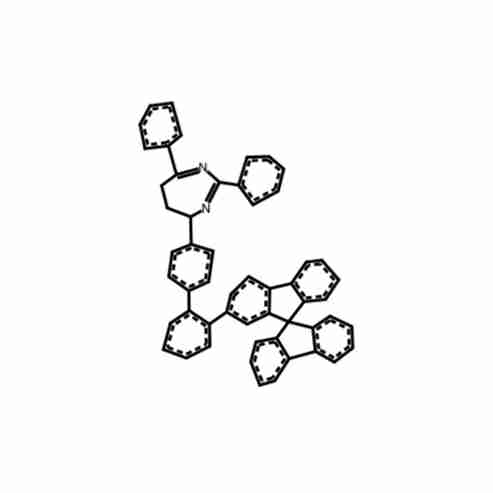 c1ccc(C2=NC(c3ccccc3)=NC(c3ccc(-c4ccccc4-c4ccc5c(c4)C4(c6ccccc6-c6ccccc64)c4ccccc4-5)cc3)CC2)cc1